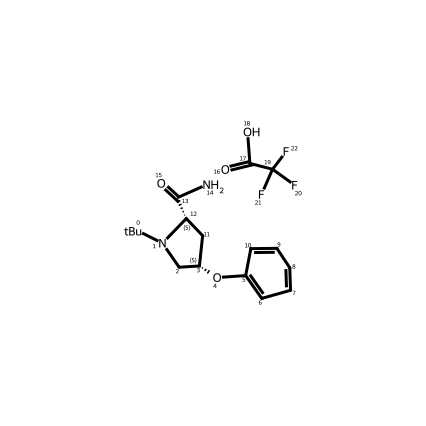 CC(C)(C)N1C[C@@H](Oc2ccccc2)C[C@H]1C(N)=O.O=C(O)C(F)(F)F